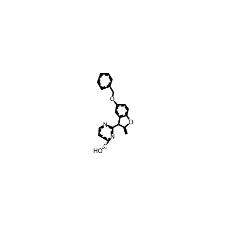 C=C1Oc2ccc(OCc3ccccc3)cc2C1c1nccc(CO)n1